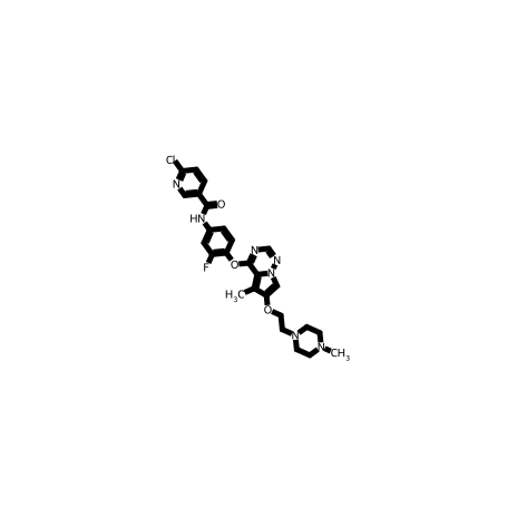 Cc1c(OCCN2CCN(C)CC2)cn2ncnc(Oc3ccc(NC(=O)c4ccc(Cl)nc4)cc3F)c12